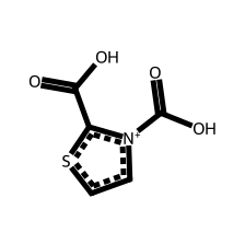 O=C(O)c1scc[n+]1C(=O)O